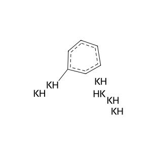 Cc1ccccc1.[KH].[KH].[KH].[KH].[KH].[KH]